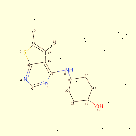 Cc1sc2ncnc(NC3CCC(O)CC3)c2c1C